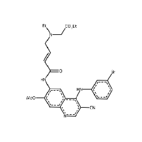 CCOC(=O)CN(CC)C/C=C/C(=O)Nc1cc2c(Nc3cccc(Br)c3)c(C#N)cnc2cc1OC